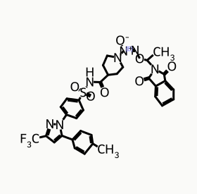 Cc1ccc(-c2cc(C(F)(F)F)nn2-c2ccc(S(=O)(=O)NC(=O)C3CCN(/[N+]([O-])=N\OC(C)N4C(=O)c5ccccc5C4=O)CC3)cc2)cc1